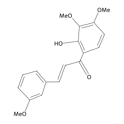 COc1cccc(/C=C/C(=O)c2ccc(OC)c(OC)c2O)c1